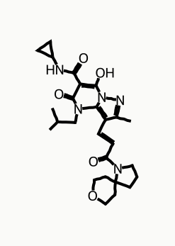 Cc1nn2c(O)c(C(=O)NC3CC3)c(=O)n(CC(C)C)c2c1C=CC(=O)N1CCCC12CCOCC2